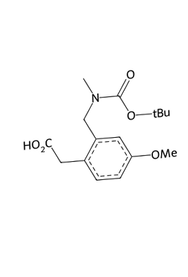 COc1ccc(CC(=O)O)c(CN(C)C(=O)OC(C)(C)C)c1